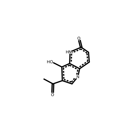 CC(=O)c1cnc2ccc(=O)[nH]c2c1O